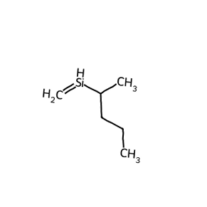 C=[SiH]C(C)CCC